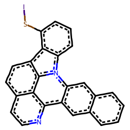 ISc1cccc2c1c1ccc3ccnc4c5cc6ccccc6cc5n2c1c34